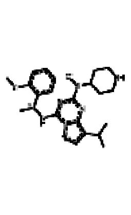 COc1ccccc1[C@H](C)Nc1nc([S+]([O-])C2CCNCC2)nc2c(C(C)C)cnn12